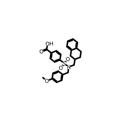 COc1ccc(CN(CC2CCc3ccccc3C2)S(=O)(=O)c2ccc(C(=O)O)cc2)cc1